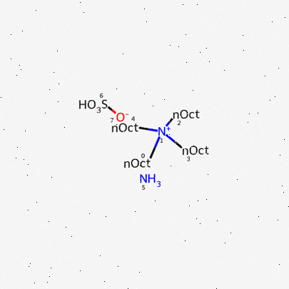 CCCCCCCC[N+](CCCCCCCC)(CCCCCCCC)CCCCCCCC.N.O=S(=O)([O-])O